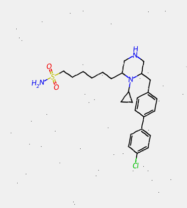 NS(=O)(=O)CCCCCCC1CNCC(Cc2ccc(-c3ccc(Cl)cc3)cc2)N1C1CC1